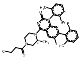 Cc1ccnc(C(C)C)c1-n1c(=O)nc(N2CCN(C(=O)CCCl)C[C@@H]2C)c2cc(F)c(-c3c(O)cccc3F)nc21